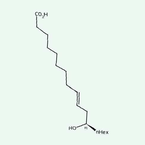 CCCCCC[C@@H](O)CC=CCCCCCCCC(=O)O